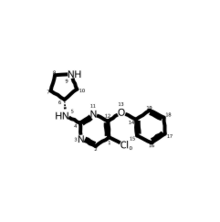 Clc1cnc(N[C@@H]2CCNC2)nc1Oc1ccccc1